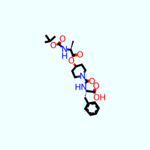 C[C@H](NC(=O)OC(C)(C)C)C(=O)OC1CCN(C(=O)N[C@@H](Cc2ccccc2)C(=O)O)CC1